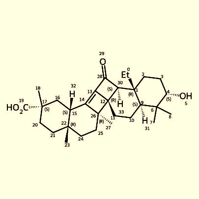 CC[C@@]12CC[C@H](O)C(C)(C)[C@H]1CC[C@]13C(=C4[C@H]5C[C@@](C)(C(=O)O)CC[C@@]5(C)CC[C@@]41C)C(=O)[C@@H]23